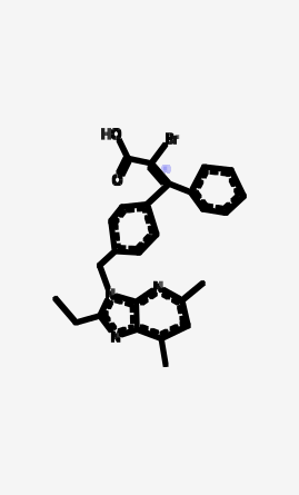 CCc1nc2c(C)cc(C)nc2n1Cc1ccc(/C(=C(/Br)C(=O)O)c2ccccc2)cc1